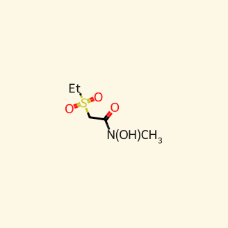 CCS(=O)(=O)CC(=O)N(C)O